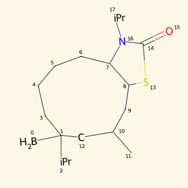 BC1(C(C)C)CCCCC2C(CC(C)C1)SC(=O)N2C(C)C